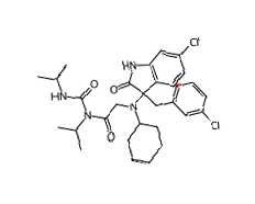 CC(C)NC(=O)N(C(=O)CN(C1CCCCC1)C1(Cc2cccc(Cl)c2)C(=O)Nc2cc(Cl)ccc21)C(C)C